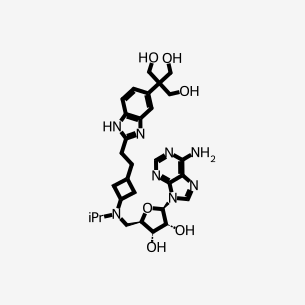 CC(C)N(C[C@H]1O[C@@H](n2cnc3c(N)ncnc32)[C@H](O)[C@@H]1O)C1CC(CCc2nc3cc(C(CO)(CO)CO)ccc3[nH]2)C1